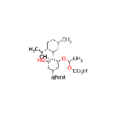 C=C(C)C1CCC(C)=CC1c1c(O)cc(CCCCC)cc1OC(C)OC(=O)OCC